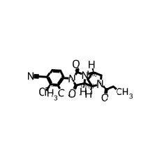 CCC(=O)N1C[C@@H]2C[C@H]1[C@H]1C(=O)N(c3ccc(C#N)c(Cl)c3C)C(=O)N21